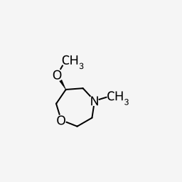 CO[C@@H]1COCCN(C)C1